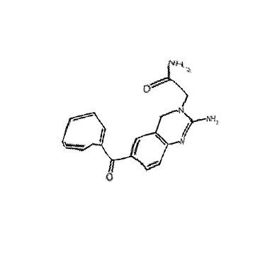 NC(=O)CN1Cc2cc(C(=O)c3ccccc3)ccc2N=C1N